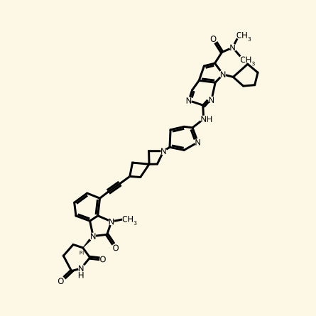 CN(C)C(=O)c1cc2cnc(Nc3ccc(N4CC5(CC(C#Cc6cccc7c6n(C)c(=O)n7[C@@H]6CCC(=O)NC6=O)C5)C4)cn3)nc2n1C1CCCC1